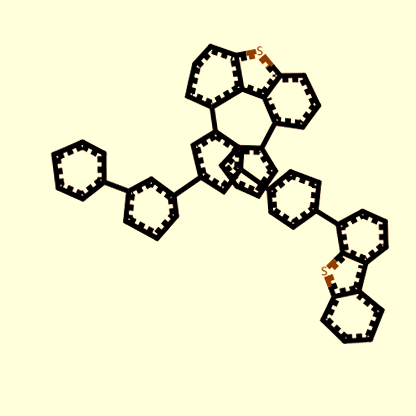 c1ccc(-c2cccc(-c3cc(-c4ccc(-c5cccc6c5sc5ccccc56)cc4)cc(-c4cccc5sc6cccc(-c7ccccc7)c6c45)c3)c2)cc1